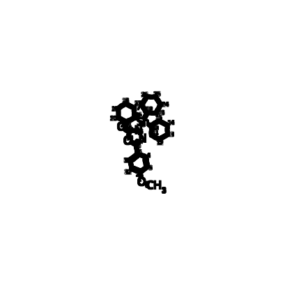 COc1ccc(-c2n[n]([Sn]([CH]3CCCCC3)([CH]3CCCCC3)[CH]3CCCCC3)c(=O)o2)cc1